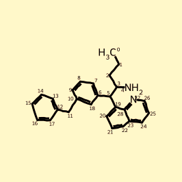 CCCC(N)C(c1cccc(Cc2ccccc2)c1)c1cccc2cccnc12